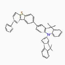 CC1(C)c2ccccc2-c2ccc(N3c4ccccc4C(C)(C)c4cc(-c5ccc6sc7ccc(-c8ccccc8)cc7c6c5)ccc43)cc21